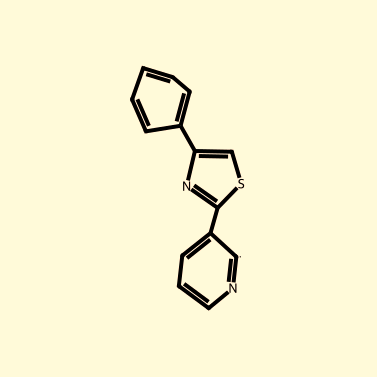 [c]1ncccc1-c1nc(-c2ccccc2)cs1